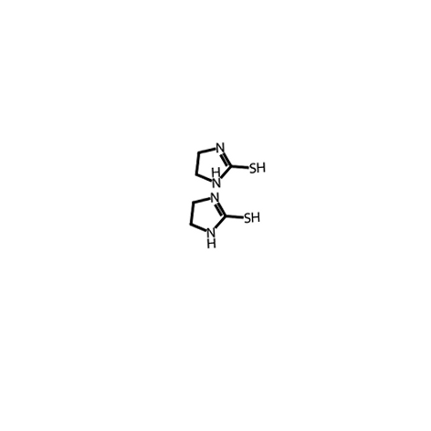 SC1=NCCN1.SC1=NCCN1